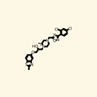 Cc1nc2cc(OCC(O)CN3CCN(Cc4nc(-c5ccc(Cl)cc5Cl)no4)C[C@@H]3C)ccc2s1